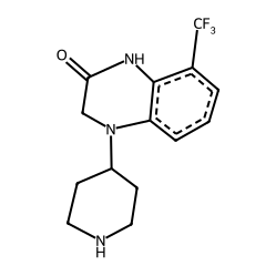 O=C1CN(C2CCNCC2)c2cccc(C(F)(F)F)c2N1